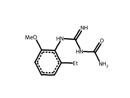 CCc1cccc(OC)c1NC(=N)NC(N)=O